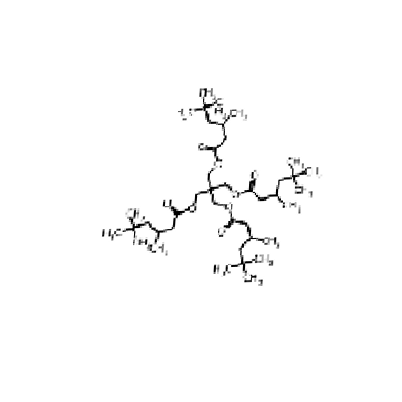 CC(CC(=O)OCC(COC(=O)CC(C)CC(C)(C)C)(COC(=O)CC(C)CC(C)(C)C)COC(=O)CC(C)CC(C)(C)C)CC(C)(C)C